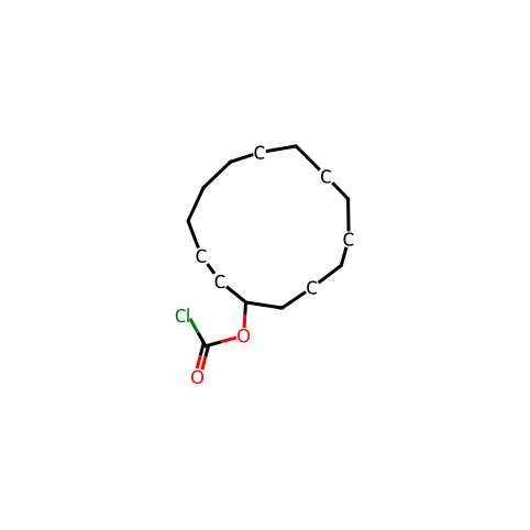 O=C(Cl)OC1CCCCCCCCCCCCC1